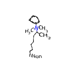 CCCCCCCCCCCCCCC(C)[N+](C)(C)c1ccccc1